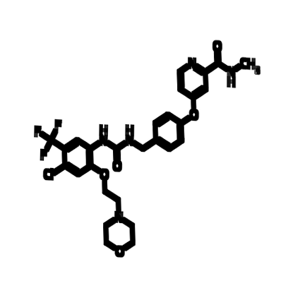 CNC(=O)c1cc(Oc2ccc(CNC(=O)Nc3cc(C(F)(F)F)c(Cl)cc3OCCN3CCOCC3)cc2)ccn1